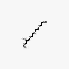 CCCCOCC(O)COCCOCCOCCO